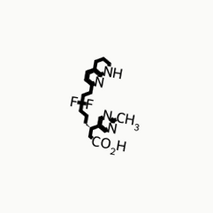 Cc1ncc([C@@H](CCCC(F)(F)CCc2ccc3c(n2)NCCC3)CC(=O)O)cn1